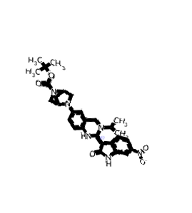 CC(C)N1Cc2cc(N3CC4CC3CN4C(=O)OC(C)(C)C)ccc2N/C1=C1\C(=O)Nc2cc([N+](=O)[O-])ccc21